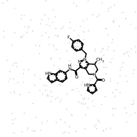 CC1CN(C(=O)c2ccc[nH]2)Cc2c(C(=O)Nc3ccc4cc[nH]c4c3)nn(Cc3ccc(F)cc3)c21